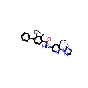 Cc1c(C(=O)Nc2cnc(-n3nccn3)c(C(F)(F)F)c2)ccc(-c2ccccc2)c1C#N